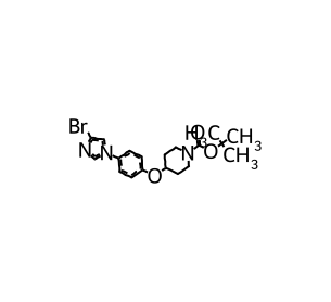 CC(C)(C)OC(=O)N1CCC(Oc2ccc(-n3cnc(Br)c3)cc2)CC1